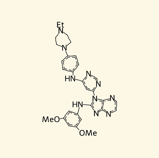 CCN1CCN(c2ccc(Nc3cc(-n4c(Nc5cc(OC)cc(OC)c5)nc5nccnc54)ncn3)cc2)CC1